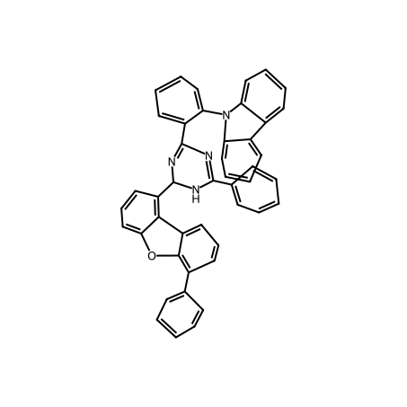 c1ccc(C2=NC(c3ccccc3-n3c4ccccc4c4ccccc43)=NC(c3cccc4oc5c(-c6ccccc6)cccc5c34)N2)cc1